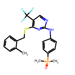 Cc1ccccc1CSc1nc(Nc2ccc(P(C)(C)=O)cc2)ncc1C(F)(F)F